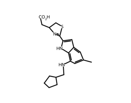 Cc1cc(NCC2CCCC2)c2[nH]c(C3=NC(CC(=O)O)CS3)cc2c1